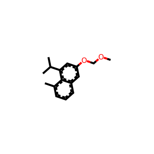 COCOc1cc(C(C)C)c2c(C)cccc2c1